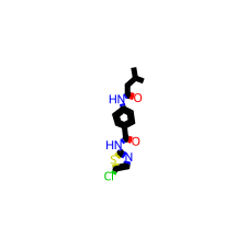 CC(C)CC(=O)Nc1ccc(C(=O)Nc2ncc(Cl)s2)cc1